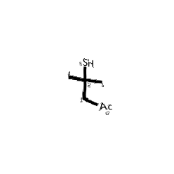 CC(=O)CC(C)(C)S